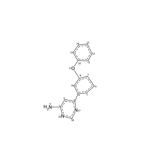 Nc1cc(-c2cccc(Oc3ccccc3)c2)ncn1